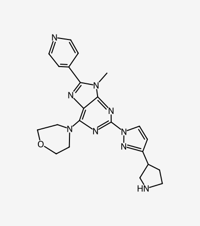 Cn1c(-c2ccncc2)nc2c(N3CCOCC3)nc(-n3ccc(C4CCNC4)n3)nc21